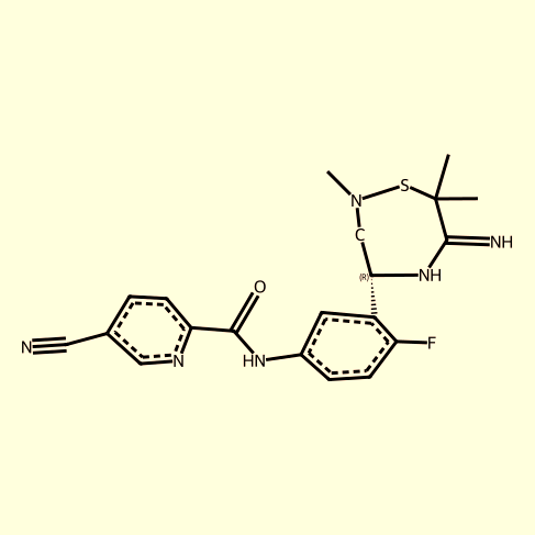 CN1C[C@@H](c2cc(NC(=O)c3ccc(C#N)cn3)ccc2F)NC(=N)C(C)(C)S1